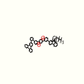 CC1(C)c2ccccc2-c2ccc(-c3ccc4oc5cc6c(cc5c4c3)oc3ccc(-c4ccccc4-c4ccc5c7ccccc7c7ccccc7c5c4)cc36)cc21